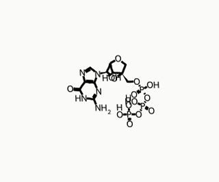 Nc1nc2c(ncn2[C@@H]2O[C@@]3(COP(=O)(O)OP(=O)(O)OP(=O)(O)O)COC2[C@H]3O)c(=O)[nH]1